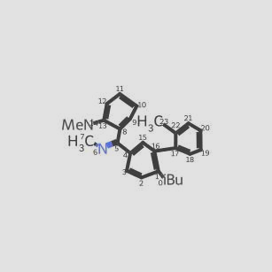 CCC(C)c1ccc(/C(=N/C)c2ccccc2NC)cc1-c1ccccc1C